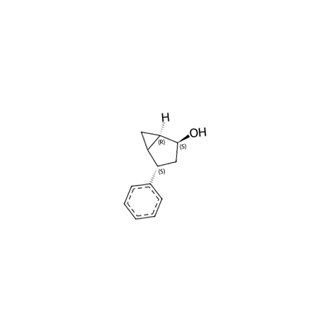 O[C@H]1C[C@H](c2ccccc2)C2C[C@H]21